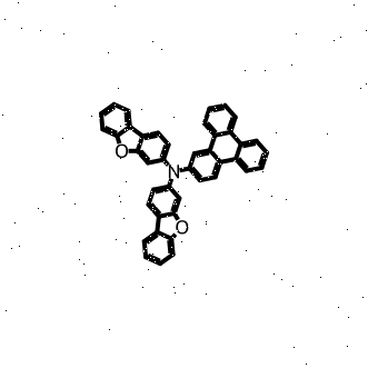 c1ccc2c(c1)oc1cc(N(c3ccc4c(c3)oc3ccccc34)c3ccc4c5ccccc5c5ccccc5c4c3)ccc12